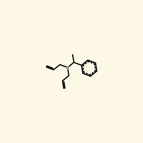 C=CCN(CC=C)C(C)c1ccccc1